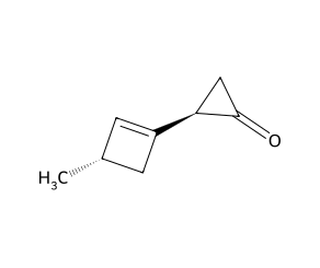 C[C@@H]1C=C([C@H]2CC2=O)C1